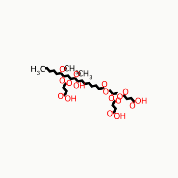 CCCCCC(OC)C(CCC(OC)C(O)CCCCCCC(=O)OCC(COC(=O)CCC(=O)O)OC(=O)CCC(=O)O)OC(=O)CCC(=O)O